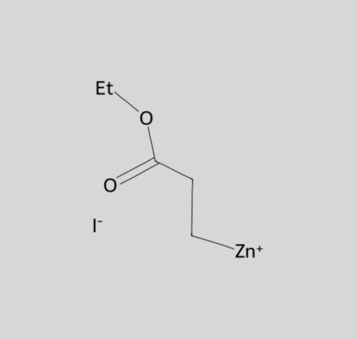 CCOC(=O)C[CH2][Zn+].[I-]